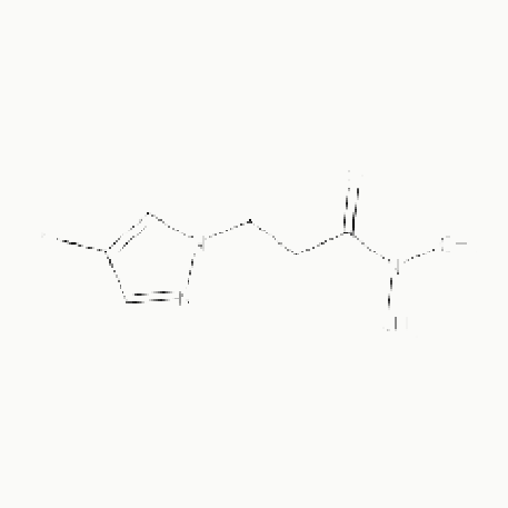 CC(C)c1cnn(CCC(=O)N(C)C)c1